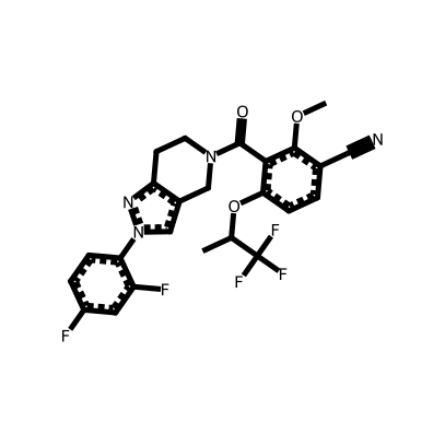 COc1c(C#N)ccc(OC(C)C(F)(F)F)c1C(=O)N1CCc2nn(-c3ccc(F)cc3F)cc2C1